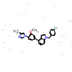 COc1cc(-c2cccc3c2ccn3Cc2ccc(Cl)cc2)ccc1-n1cnc(C)c1